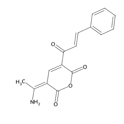 CC(N)=C1C=C(C(=O)/C=C/c2ccccc2)C(=O)OC1=O